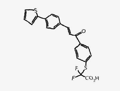 O=C(/C=C/c1ccc(-c2cccs2)cc1)c1ccc(SC(F)(F)C(=O)O)cc1